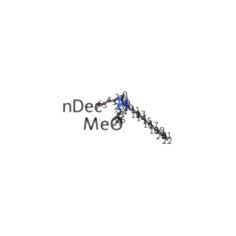 C=C(CCCCCCCCCCCCCCC)N(CCCCCCCCCCCC=CC)CCCCOC